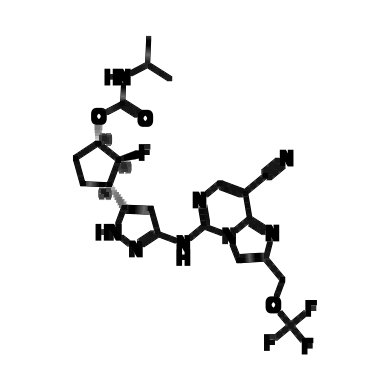 CC(C)NC(=O)O[C@H]1CC[C@@H](c2cc(Nc3ncc(C#N)c4nc(COC(F)(F)F)cn34)n[nH]2)[C@@H]1F